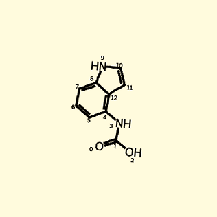 O=C(O)Nc1cccc2[nH]ccc12